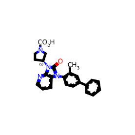 Cc1cc(-c2ccccc2)ccc1-n1c(=O)n([C@H]2CCN(C(=O)O)C2)c2ncccc21